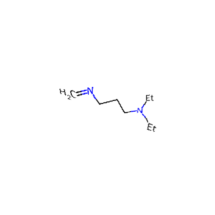 C=NCCCN(CC)CC